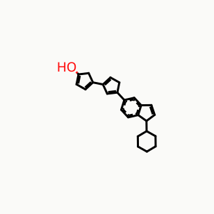 OC1=CC=C(C2=CCC(c3ccc4c(c3)C=CC4C3CCCCC3)=C2)C1